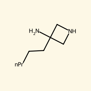 CCCCCC1(N)CNC1